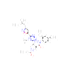 CC(=O)N1C[C@H](C(=O)Nc2ccc(C)cc2C)[C@@H](c2nnc(-c3cc(CC(C)C)no3)n2C2CC2)C1